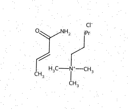 CC(C)CC[N+](C)(C)C.CC=CC(N)=O.[Cl-]